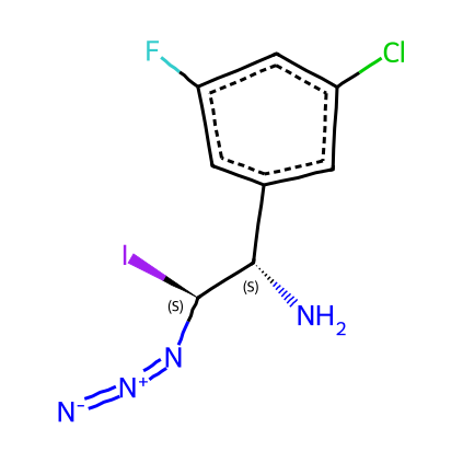 [N-]=[N+]=N[C@@H](I)[C@@H](N)c1cc(F)cc(Cl)c1